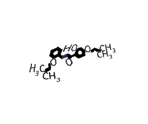 CC(C)=CCOc1ccc(C(=O)/C=C/c2ccccc2OCC=C(C)C)c(O)c1